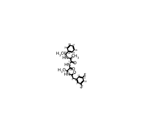 C[C@H](NC(=O)Cc1cc(F)cc(F)c1)C(=O)NC(=O)[C@H](C)N[C@H](C)c1ccccc1